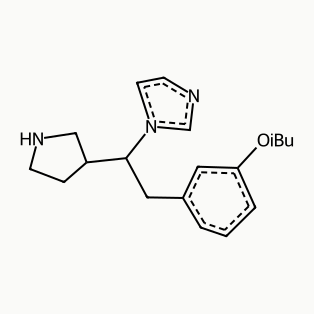 CC(C)COc1cccc(CC(C2CCNC2)n2ccnc2)c1